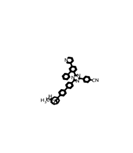 C[C@H]1CCC2CC(c3ccc(-c4ccc(-c5nc(-c6ccc(C#N)cc6)nc(-c6ccc(-c7cccnc7)cc6-c6ccccc6)n5)cc4)cc3)(C1)[C@@H]2C